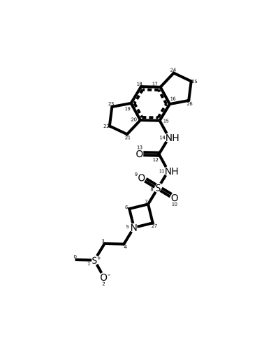 C[S+]([O-])CCN1CC(S(=O)(=O)NC(=O)Nc2c3c(cc4c2CCC4)CCC3)C1